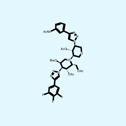 CO[C@H]1C[SH]([C@@H]2COC[C@H](n3cc(-c4cccc(NC(C)=O)c4)nn3)[C@H]2OC(C)=O)[C@H](COC(C)=O)[C@H](OC(C)=O)[C@H]1n1cc(-c2cc(F)c(F)c(F)c2)nn1